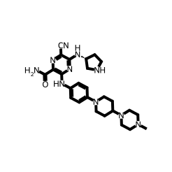 CN1CCN(C2CCN(c3ccc(Nc4nc(N[C@@H]5CCNC5)c(C#N)nc4C(N)=O)cc3)CC2)CC1